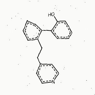 Oc1ccccc1-c1ccccc1CCc1ccncc1